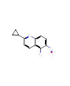 Nc1c([N+](=O)[O-])ccc2nc(C3CC3)ccc12